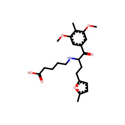 COc1cc(C(=O)C(CCc2ccc(C)o2)NCCCCC(=O)O)cc(OC)c1C